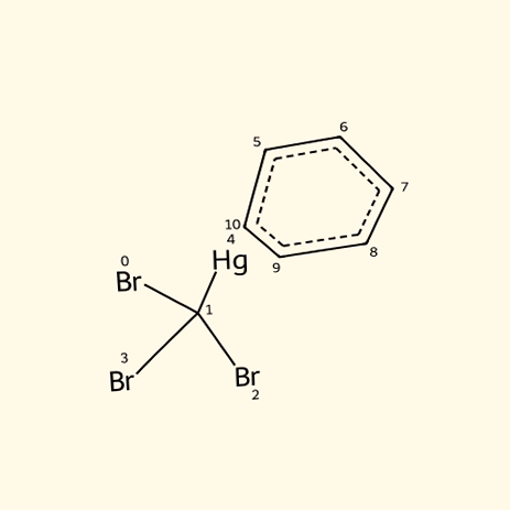 Br[C](Br)(Br)[Hg].c1ccccc1